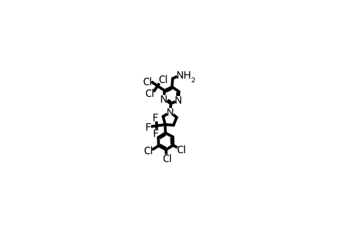 NCc1cnc(N2CCC(c3cc(Cl)c(Cl)c(Cl)c3)(C(F)(F)F)C2)nc1C(Cl)(Cl)Cl